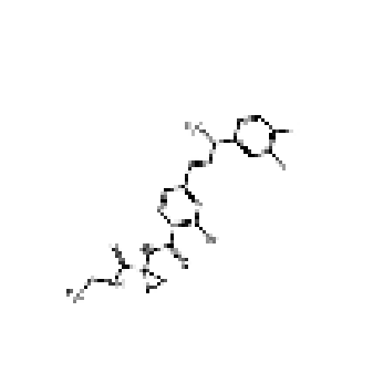 Cc1cc(C(/C=C/c2ccc(C(=O)NC3(C(=O)NCC(F)(F)F)CC3)c(Br)c2)C(F)(F)F)ccc1F